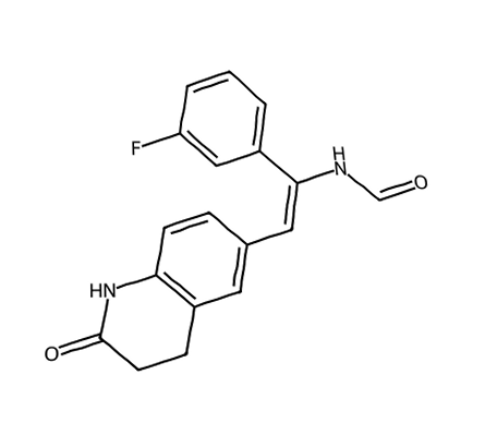 O=CN/C(=C/c1ccc2c(c1)CCC(=O)N2)c1cccc(F)c1